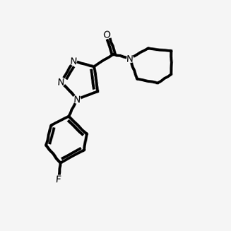 O=C(c1cn(-c2ccc(F)cc2)nn1)N1CCCCC1